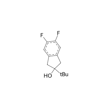 CC(C)(C)C1(O)Cc2cc(F)c(F)cc2C1